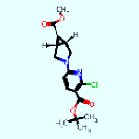 COC(=O)[C@H]1[C@@H]2CN(c3ccc(C(=O)OC(C)(C)C)c(Cl)n3)C[C@@H]21